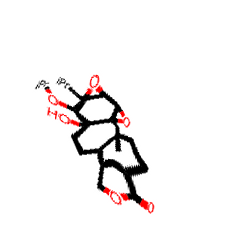 CC(C)OC1C2(C(C)C)OC2C2OC23C2(C)CCC4=C(COC4=O)C2CCC13O